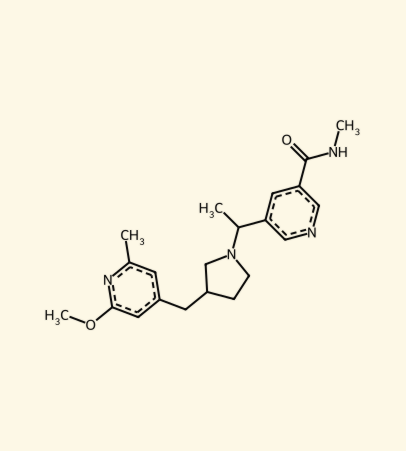 CNC(=O)c1cncc(C(C)N2CCC(Cc3cc(C)nc(OC)c3)C2)c1